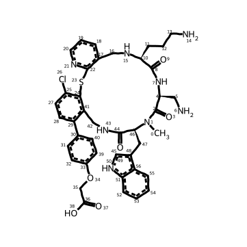 CN1C(=O)[C@H](CN)NC(=O)[C@H](CCCN)NCc2cccnc2Sc2c(Cl)ccc(-c3ccc(OCC(=O)O)cc3)c2CNC(=O)[C@@H]1Cc1c[nH]c2ccccc12